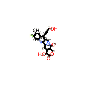 Cc1cc2c(C#CCO)c3c(nc2cc1F)-c1cc2c(c(=O)n1C3)COC(=O)[C@H]2O